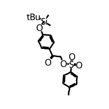 Cc1ccc(S(=O)(=O)OCC(=O)c2ccc(O[Si](C)(C)C(C)(C)C)cc2)cc1